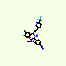 CNC(=O)[C@@H](N[C@@H](CCc1ccc(C(F)(F)F)nc1)c1ccc(F)c(C)c1)c1ccc(C#N)cc1